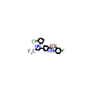 O=C(Nc1ccc(F)cc1C(F)(F)F)c1ccc(-c2cc(C(F)(F)F)nn2-c2ccccc2Cl)cc1